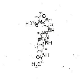 C=CC(=O)Nc1cccc(Nc2nc(Nc3ccc4c(c3)N(SC)CCO4)ncc2F)c1